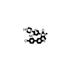 Cn1c(=O)n(-c2cnc(N3CCNCC3)c(C#N)c2)c2c3cc(-c4ccc(Cl)cc4)ccc3ncc21